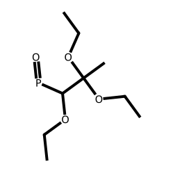 CCOC(P=O)C(C)(OCC)OCC